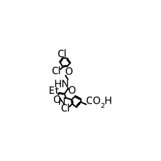 CCc1onc(-c2ccc(CC(=O)O)cc2Cl)c1C(=O)NCCOc1ccc(Cl)cc1Cl